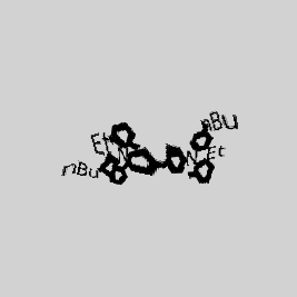 CCCCc1ccc(N(c2ccc(C3C=CC(c4ccccc4)(N(c4ccc(CCCC)cc4)c4c(C)cccc4CC)C=C3)cc2)c2c(C)cccc2CC)cc1